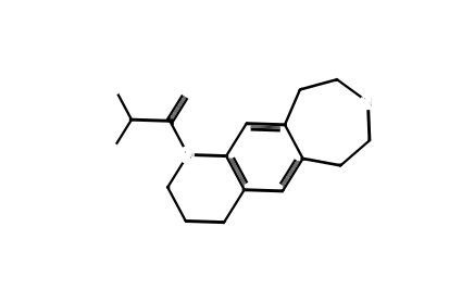 CC(C)C(=O)N1CCCc2cc3c(cc21)CCNCC3